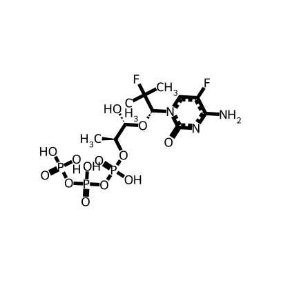 C[C@H](OP(=O)(O)OP(=O)(O)OP(=O)(O)O)[C@H](O)O[C@@H](n1cc(F)c(N)nc1=O)C(C)(C)F